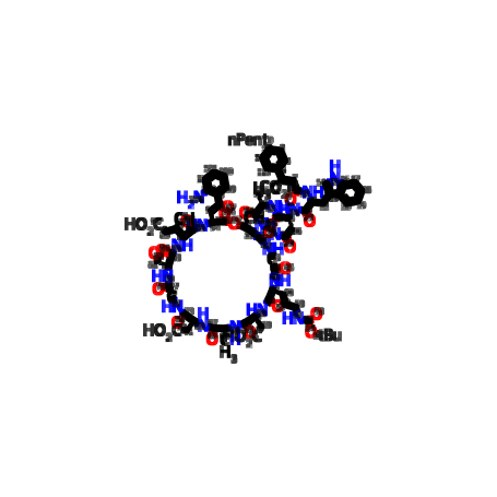 CCCCCc1ccc(/C(C)=C/C(=O)NC(Cc2c[nH]c3ccccc23)C(=O)N[C@H](CC(N)=O)C(=O)N[C@@H](CC(=O)O)C(=O)N[C@@H]2C(=O)NCC(=O)N[C@@H](CCCNC(=O)OC(C)(C)C)C(=O)N[C@@H](CC(=O)O)C(=O)N[C@H](C)C(=O)N[C@@H](CC(=O)O)C(=O)NCC(=O)N[C@H](CO)C(=O)N[C@@H]([C@H](C)CC(=O)O)C(=O)N[C@@H](CC(=O)c3ccccc3N)C(=O)O[C@@H]2C)cc1